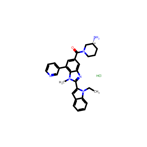 CCn1c(-c2nc3cc(C(=O)N4CCC[C@@H](N)C4)cc(-c4cccnc4)c3n2C)cc2ccccc21.Cl